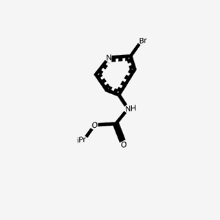 CC(C)OC(=O)Nc1ccnc(Br)c1